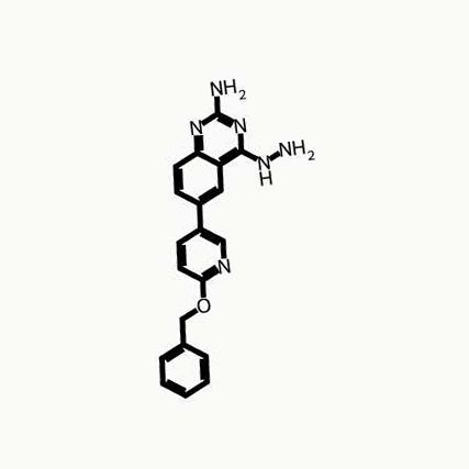 NNc1nc(N)nc2ccc(-c3ccc(OCc4ccccc4)nc3)cc12